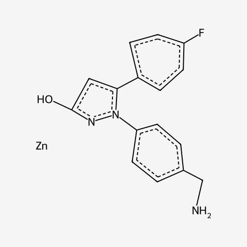 NCc1ccc(-n2nc(O)cc2-c2ccc(F)cc2)cc1.[Zn]